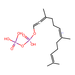 CC(=C=COP(=O)(O)OP(=O)(O)O)CC/C=C(/C)CCC=C(C)C